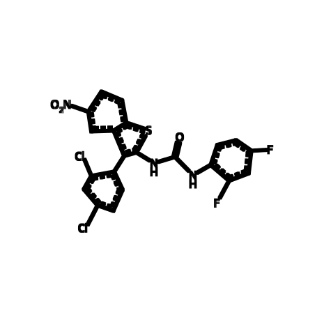 O=C(Nc1ccc(F)cc1F)Nc1sc2ccc([N+](=O)[O-])cc2c1-c1ccc(Cl)cc1Cl